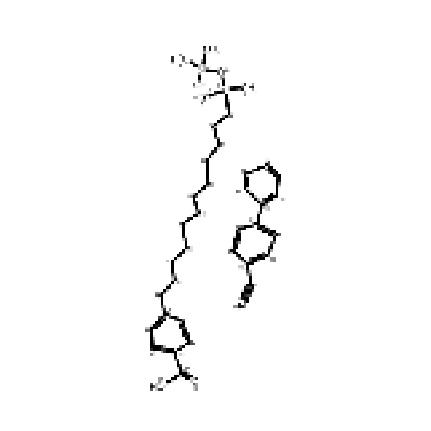 C[Si](C)(C)O[Si](C)(C)CCCCCCCCCCCCc1ccc(C(=O)O)cc1.N#Cc1ccc(-c2ccccc2)cc1